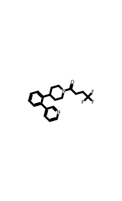 O=C(CCC(F)(F)F)N1CCC(c2cc[c]cc2-c2cccnc2)CC1